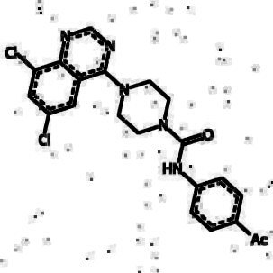 CC(=O)c1ccc(NC(=O)N2CCN(c3ncnc4c(Cl)cc(Cl)cc34)CC2)cc1